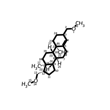 COCC1C=C2CC[C@H]3[C@@H]4CC[C@H](COC)[C@@]4(C)CC[C@@H]3[C@@]2(C)CC1